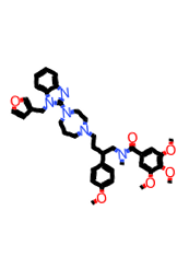 COc1ccc(C(CCN2CCCN(c3nc4ccccc4n3Cc3ccoc3)CC2)CN(C)C(=O)c2cc(OC)c(OC)c(OC)c2)cc1